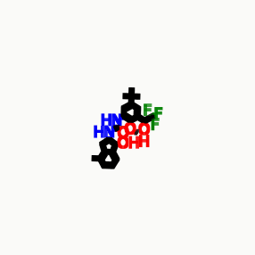 COc1c(NC(=O)NC2Cc3c(C)cccc3C2O)cc(C(C)(C)C)cc1C(O)C(F)(F)F